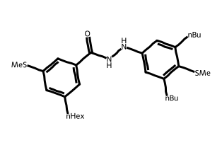 CCCCCCc1cc(SC)cc(C(=O)NNc2cc(CCCC)c(SC)c(CCCC)c2)c1